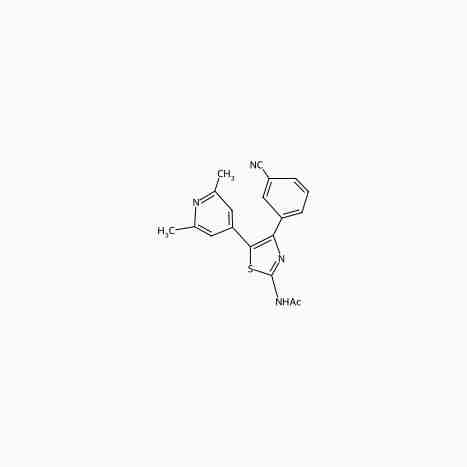 CC(=O)Nc1nc(-c2cccc(C#N)c2)c(-c2cc(C)nc(C)c2)s1